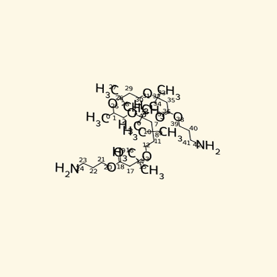 CC(COC(C)(C)CC(C)(C)CCOC(C)(C)CC(=O)OCCCN)OC(C)(C)CCOC(C)(C)CC(=O)OCCCN